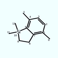 Cc1ccc(C)c2c1CC[Si]2(C)C